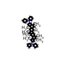 Cc1c(C)c2cc(N(c3ccccc3)c3ccccc3)cc(C)c2c2c1=CC1c3cc4c(C)c(C)c5cc(N(c6ccccc6)c6ccccc6)cc(C)c5c4cc3C(C)(C)C1C=2